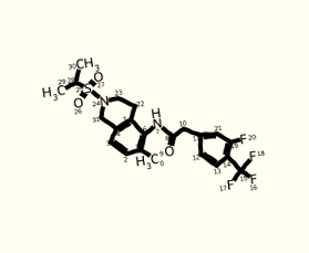 Cc1ccc2c(c1NC(=O)Cc1ccc(C(F)(F)F)c(F)c1)CCN(S(=O)(=O)C(C)C)C2